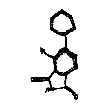 O=C1NC(=O)c2c1ccc(-c1ccccc1)c2F